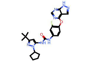 CC(C)(C)c1cc(NC(=O)Nc2ccc(Oc3ncnc4[nH]ncc34)c(F)c2)n(C2CCCC2)n1